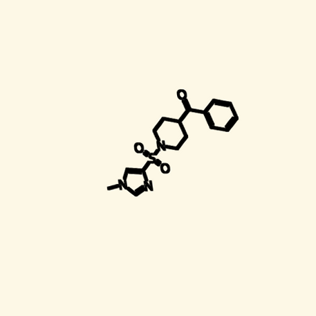 Cn1cnc(S(=O)(=O)N2CCC(C(=O)c3ccccc3)CC2)c1